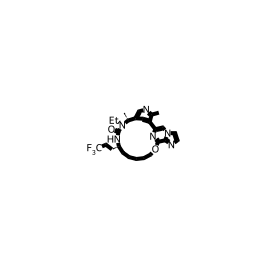 CCN1C(=O)N[C@@H](CCC(F)(F)F)CCCCCOc2nc(cn3ccnc23)-c2cc(cnc2C)[C@H]1C